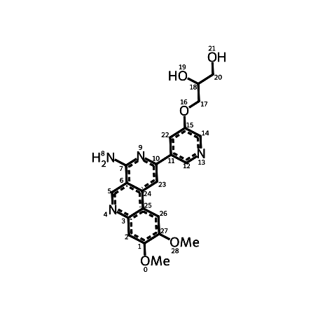 COc1cc2ncc3c(N)nc(-c4cncc(OCC(O)CO)c4)cc3c2cc1OC